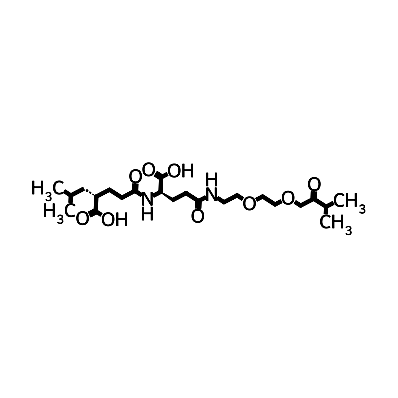 CC(C)C[C@H](CCC(=O)N[C@H](CCC(=O)NCCOCCOCC(=O)C(C)C)C(=O)O)C(=O)O